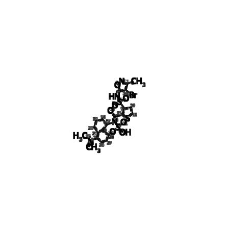 Cc1noc(NS(=O)(=O)c2ccsc2C(=O)N(c2cccc3c(N(C)C)cccc23)S(=O)(=O)O)c1Br